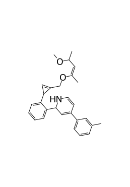 COC(C)/C=C(/C)OCC1=CC1c1ccccc1C1C=C(c2cccc(C)c2)C=CN1